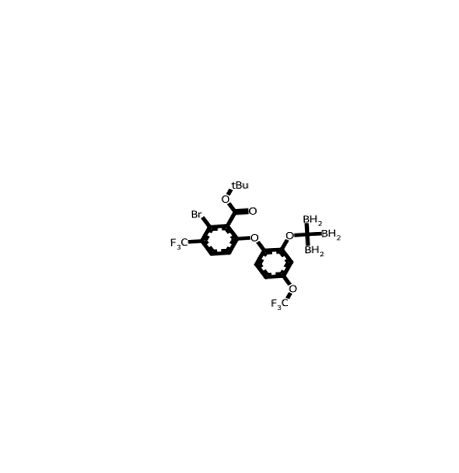 BC(B)(B)Oc1cc(OC(F)(F)F)ccc1Oc1ccc(C(F)(F)F)c(Br)c1C(=O)OC(C)(C)C